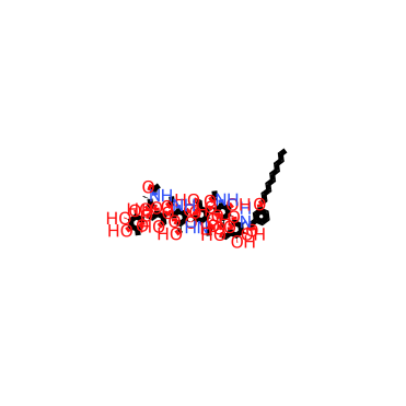 CCCCCCCCCCCOc1cccc(C(=O)N[C@@H]2C(O[C@H]3C(O)C(NC(C)=O)[C@H](OC4C(CO)O[C@@H](O[C@H]5C(O)C(NC(C)=O)C(OC(CO)C(CO[C@@H]6OC(C)C(O)[C@H](O)[C@H]6O)OC(O)[C@H](C)NC(C)=O)O[C@H]5CO)[C@@H](NC(C)=O)[C@H]4O)O[C@H]3CO)OC(CO)[C@@H](O)[C@@H]2O)c1